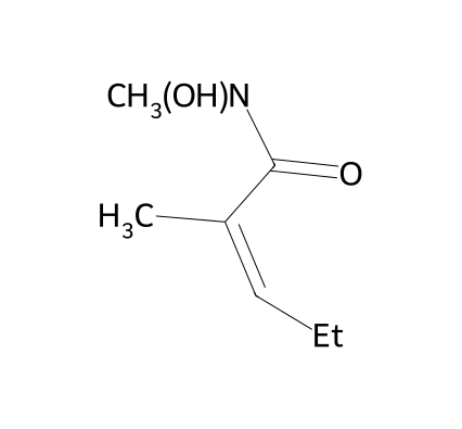 CCC=C(C)C(=O)N(C)O